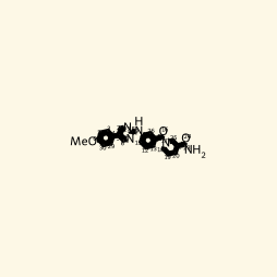 COc1ccc(-c2cnc(Nc3cccc(C(=O)N4CCCC(C(N)=O)C4)c3)nc2)cc1